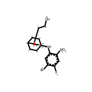 O=[N+]([O-])c1cc(F)c(Br)cc1NC12CCC(CC1)CN(CCO)C2